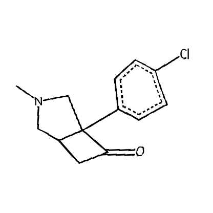 CN1CC2CC(=O)C2(c2ccc(Cl)cc2)C1